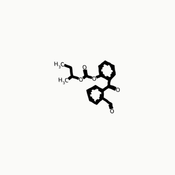 CCC(C)OC(=O)Oc1ccccc1C(=O)c1ccccc1[C]=O